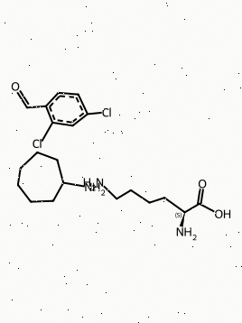 NC1CCCCCC1.NCCCC[C@H](N)C(=O)O.O=Cc1ccc(Cl)cc1Cl